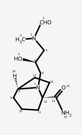 CN(C=O)C[C@H](O)CN1[C@H]2C[CH]C[C@]1(C(N)=O)CC2